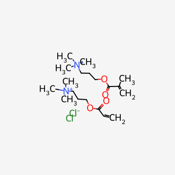 C=C(C)C(=O)OCCC[N+](C)(C)C.C=CC(=O)OCCC[N+](C)(C)C.[Cl-].[Cl-]